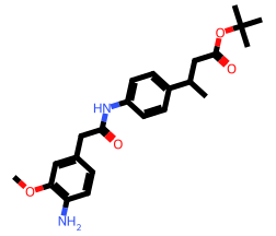 COc1cc(CC(=O)Nc2ccc(C(C)CC(=O)OC(C)(C)C)cc2)ccc1N